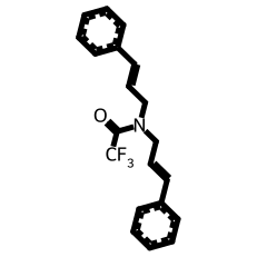 O=C(N(CC=Cc1ccccc1)CC=Cc1ccccc1)C(F)(F)F